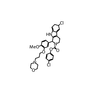 COc1ccc(C2c3[nH]c4c(c3CCN2C(=O)Oc2ccc(Cl)cc2)=CC(Cl)CC=4)cc1OCCCN1CCOCC1